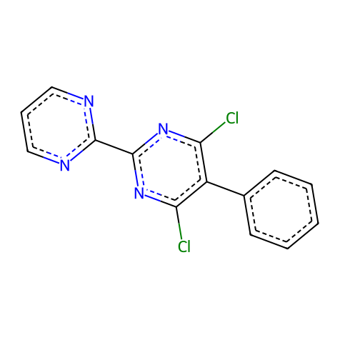 Clc1nc(-c2ncccn2)nc(Cl)c1-c1ccccc1